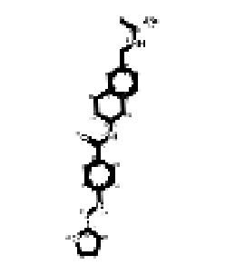 C[C@@H](NCc1ccc2c(c1)CC[C@H](NC(=O)c1ccc(OC[C@@H]3CCCO3)cc1)C2)C(C)(C)C